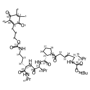 CC1=C(C)C(=O)C(CCCOC(=O)NCCC[C@H](NC(=O)[C@@H](NC(=O)[C@@H]2CCCN2C(=O)C/C=C/[C@H](CC(C)C)NC(=O)OC(C)(C)C)C(C)C)C(=O)NC(C)C)=C(C)C1=O